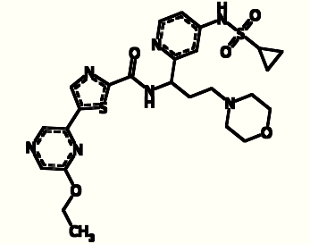 CCOc1cncc(-c2cnc(C(=O)NC(CCN3CCOCC3)c3cc(NS(=O)(=O)C4CC4)ccn3)s2)n1